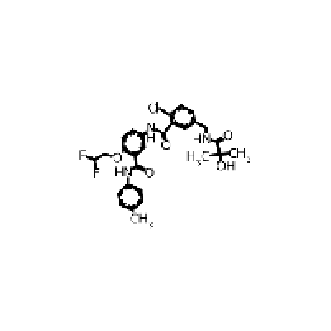 Cc1ccc(NC(=O)c2cc(NC(=O)c3cc(CNC(=O)C(C)(C)O)ccc3Cl)ccc2OCC(F)F)cc1